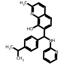 Cc1ccc2ccc(C(Nc3ccccn3)c3ccc(C(C)C)cc3)c(O)c2n1